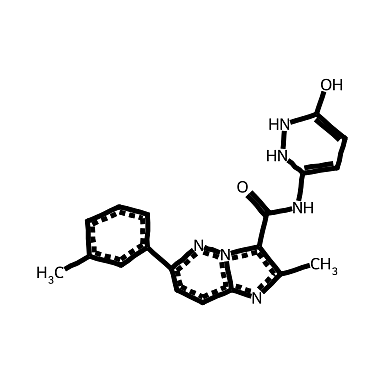 Cc1cccc(-c2ccc3nc(C)c(C(=O)NC4=CC=C(O)NN4)n3n2)c1